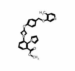 COC(=O)c1cccc(N2CC(Oc3ccc(COc4cnccc4C)cc3)C2)c1-n1cccc1